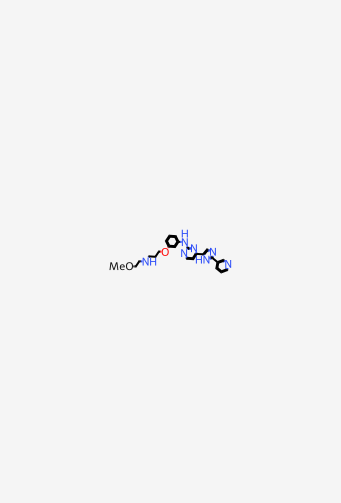 COCCNCCCOc1cccc(Nc2nccc(-c3cnc(-c4cccnc4)[nH]3)n2)c1